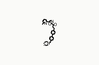 Cc1cccc(-c2cnc(C(=O)CCc3ccc(-c4ccc(CN5CCSCC5)cc4)cc3)o2)n1